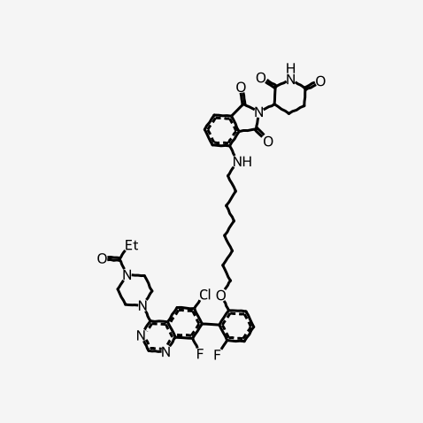 CCC(=O)N1CCN(c2ncnc3c(F)c(-c4c(F)cccc4OCCCCCCCCNc4cccc5c4C(=O)N(C4CCC(=O)NC4=O)C5=O)c(Cl)cc23)CC1